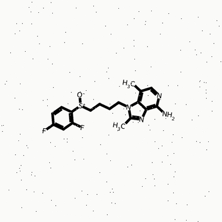 Cc1cnc(N)c2nc(C)n(CCCC[S+]([O-])c3ccc(F)cc3F)c12